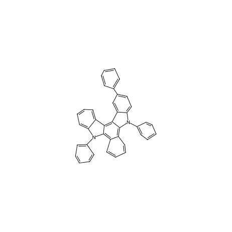 c1ccc(-c2ccc3c(c2)c2c4c5ccccc5n(-c5ccccc5)c4c4ccccc4c2n3-c2ccccc2)cc1